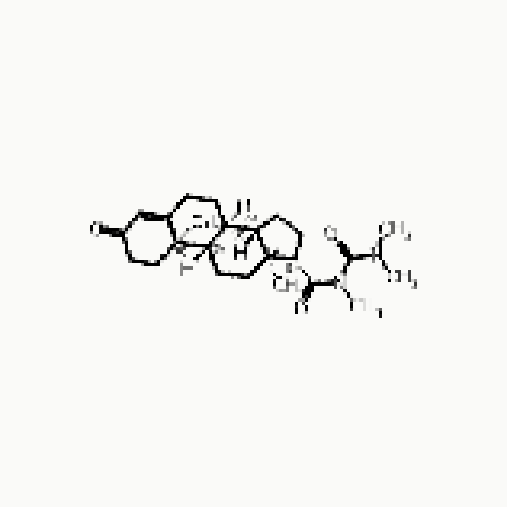 CN(C)C(=O)N(C)C(=O)[C@H]1CC[C@H]2[C@@H]3CCC4=CC(=O)CC[C@]4(C)[C@H]3CC[C@]12C